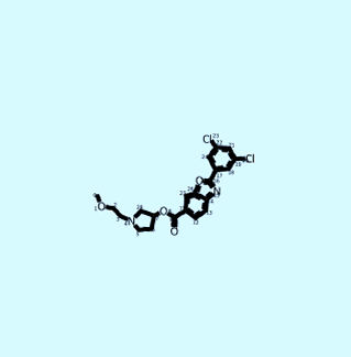 COCCN1CCC(OC(=O)c2ccc3nc(-c4cc(Cl)cc(Cl)c4)oc3c2)C1